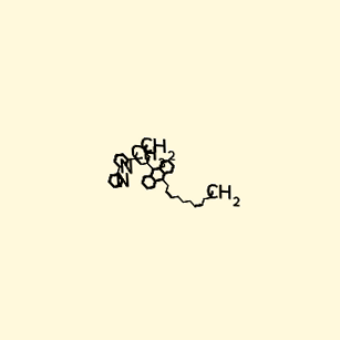 C=C/C=C(\C=C(/C)c1cccc(-c2ccccn2)n1)c1c2ccccc2c(C/C=C\CCC/C=C\CC=C)c2ccccc12